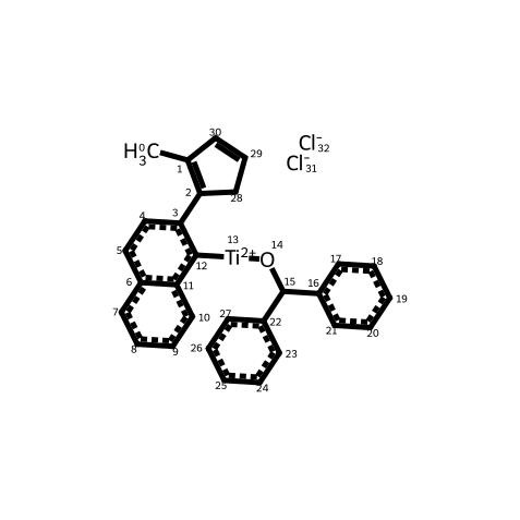 CC1=C(c2ccc3ccccc3[c]2[Ti+2][O]C(c2ccccc2)c2ccccc2)CC=C1.[Cl-].[Cl-]